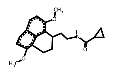 COc1ccc2ccc(OC)c3c2c1CCC3CCNC(=O)C1CC1